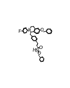 O=C(/C=C/c1ccc(CC2c3ccc(OCc4ccccc4)cc3CCN2c2ccc(F)cc2)cc1)NOCc1ccccc1